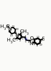 Cc1cc(/C=C/c2nc3ccc(F)cc3o2)c(C)n1C1CCN(C)CC1